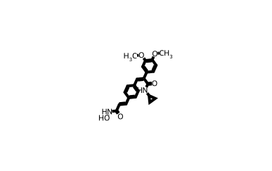 COc1ccc(C(=Cc2ccc(/C=C/C(=O)NO)cc2)C(=O)NC2CC2)cc1OC